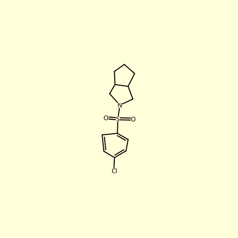 O=S(=O)(c1ccc(Cl)cc1)N1CC2CCCC2C1